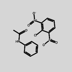 CC(=O)Nc1ccccc1.O=[N+]([O-])c1cccc([N+](=O)[O-])c1Cl